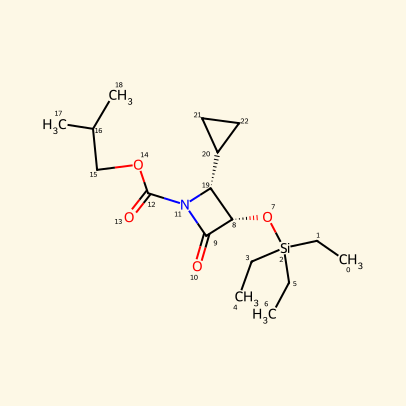 CC[Si](CC)(CC)O[C@@H]1C(=O)N(C(=O)OCC(C)C)[C@@H]1C1CC1